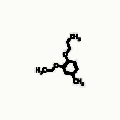 CCCOc1ccc(C)cc1OCC